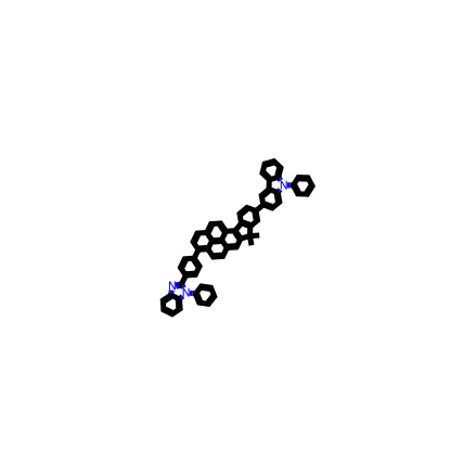 CC1(C)c2cc(-c3ccc4c(c3)c3ccccc3n4-c3ccccc3)ccc2-c2c1cc1ccc3c(-c4ccc(-c5nc6ccccc6n5-c5ccccc5)cc4)ccc4ccc2c1c43